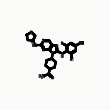 N#Cc1cc(F)c(Nc2nc3cnc(N[C@@H]4CCOC4)nc3n2C2CCC(C(N)=O)CC2)c(Cl)c1